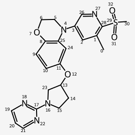 Cc1cc(N2CCOc3ccc(OC4CCN(c5ncccn5)C4)cc32)cnc1S(C)(=O)=O